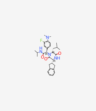 CC(C)C[C@@H]1C(=O)N[C@H](C2Cc3ccccc3C2)C(=O)N1[C@@H](C(=O)NC(C)C)c1ccc(N(C)C)c(F)c1